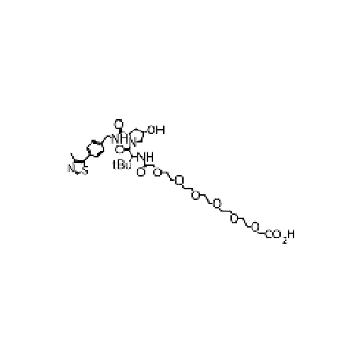 Cc1ncsc1-c1ccc(CNC(=O)[C@@H]2C[C@@H](O)CN2C(=O)[C@@H](NC(=O)COCCOCCOCCOCCOCCOCC(=O)O)C(C)(C)C)cc1